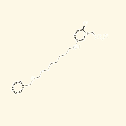 CCOC(=O)Cn1cc(NCCCCCCCCOCc2ccccc2)ccc1=O